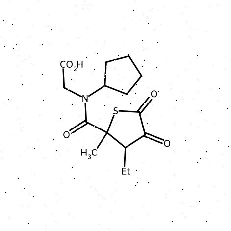 CCC1C(=O)C(=O)SC1(C)C(=O)N(CC(=O)O)C1CCCC1